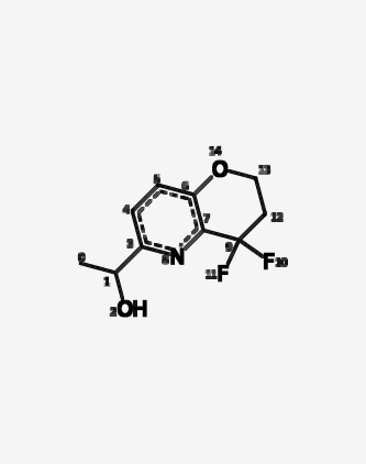 CC(O)c1ccc2c(n1)C(F)(F)CCO2